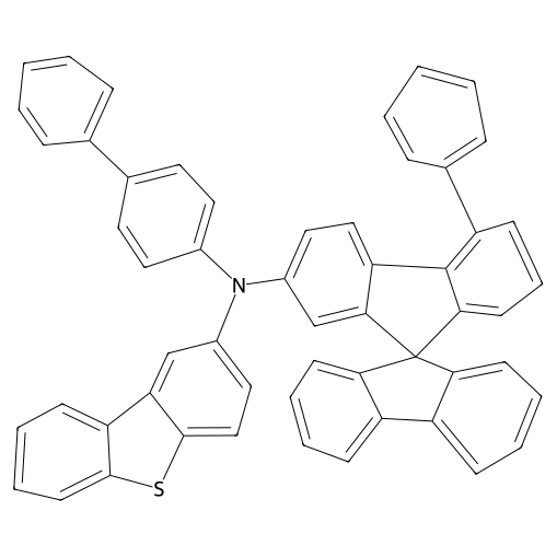 c1ccc(-c2ccc(N(c3ccc4c(c3)C3(c5ccccc5-c5ccccc53)c3cccc(-c5ccccc5)c3-4)c3ccc4sc5ccccc5c4c3)cc2)cc1